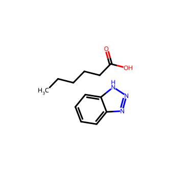 CCCCCC(=O)O.c1ccc2[nH]nnc2c1